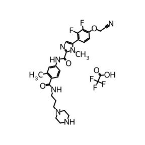 Cc1cc(NC(=O)c2ncc(-c3ccc(OCC#N)c(F)c3F)n2C)ccc1C(=O)NCCCN1CCNCC1.O=C(O)C(F)(F)F